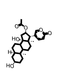 CC(=O)O[C@H]1C[C@]2(O)C3CC[C@@H]4C[C@@H](O)CC[C@]4(C)C3CC[C@]2(C)[C@H]1c1ccc(=O)oc1